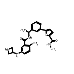 CNC(=O)c1ccc(-c2cccc(C(C)NC(=O)c3cc(NC4CNC4)ccc3C)c2)s1